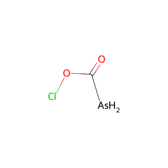 O=C([AsH2])OCl